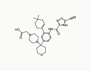 CC1(C)CC=C(c2cc(C3(N4CCN(CC(=O)O)CC4)CCOCC3)ccc2NC(=O)c2ncc(C#N)[nH]2)CC1